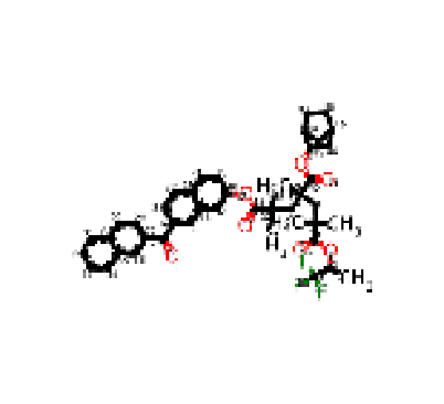 CC(OC(=O)C(C)(C)CC(C)(CC(C)(C)C(=O)Oc1ccc2ccc(C(=O)c3ccc4ccccc4c3)cc2c1)C(=O)OC1CC2CCC1C2)C(F)(F)F